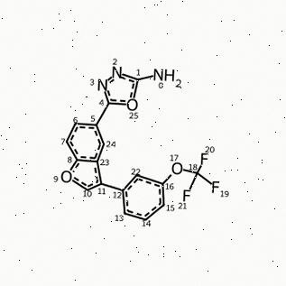 Nc1nnc(-c2ccc3occ(-c4cccc(OC(F)(F)F)c4)c3c2)o1